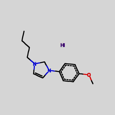 CCCCN1C=CN(c2ccc(OC)cc2)C1.I